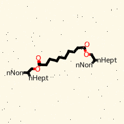 CCCCCCCCCC(CCCCCCC)COC(=O)CCCCCCCCC(=O)OCC(CCCCCCC)CCCCCCCCC